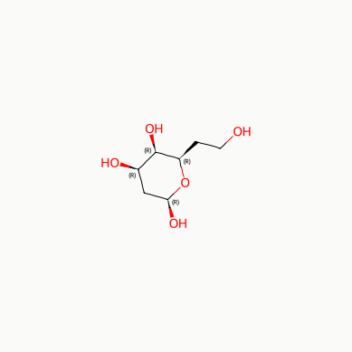 OCC[C@H]1O[C@@H](O)C[C@@H](O)[C@H]1O